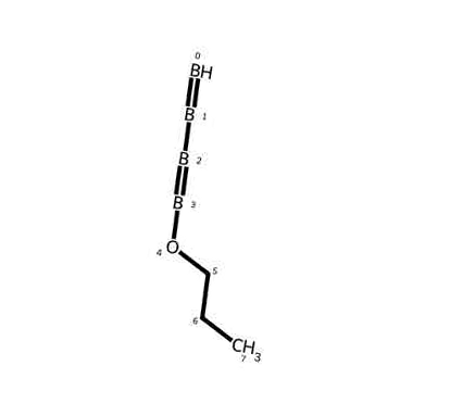 B=BB=BOCCC